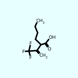 C=C(C(CCCC)C(=O)O)C(F)(F)F